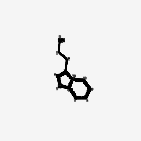 OCCc1nnc2ccccn12